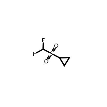 O=S(=O)([C]1CC1)C(F)F